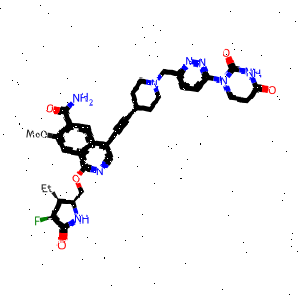 CC[C@@H]1[C@H](F)C(=O)N[C@@H]1COc1ncc(C#CC2CCN(Cc3ccc(N4CCC(=O)NC4=O)nn3)CC2)c2cc(C(N)=O)c(OC)cc12